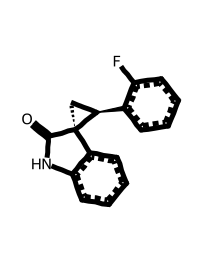 O=C1Nc2ccccc2[C@@]12C[C@H]2c1ccccc1F